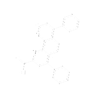 O=C(Cl)c1cc(-c2ccccc2)c2ccc3c(-c4ccccc4)ccnc3c2n1